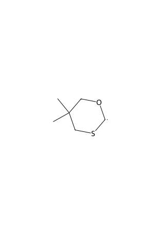 CC1(C)CO[CH]SC1